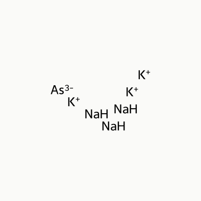 [As-3].[K+].[K+].[K+].[NaH].[NaH].[NaH]